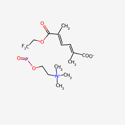 CC(=CC=C(C)C(=O)OCC(F)(F)F)C(=O)[O-].C[N+](C)(C)CCOP=O